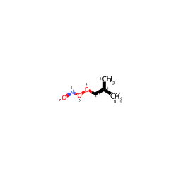 CC(C)COON=O